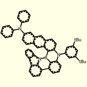 CC(C)(C)c1cc(N2c3cccc4c3B(c3c2ccc2cc5cc(N(c6ccccc6)c6ccccc6)ccc5cc32)n2c3ccccc3c3cccc-4c32)cc(C(C)(C)C)c1